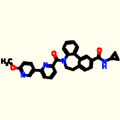 COc1ccc(-c2cccc(C(=O)N3CCc4ccc(C(=O)NC5CC5)cc4-c4ccccc43)n2)cn1